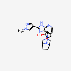 Cn1cc(-c2nc3c(N4CC5CCC(C4)N5[C@H]4CC[C@@H]4O)ccnc3[nH]2)cn1